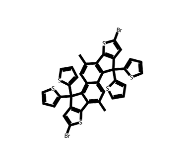 Cc1cc2c3c(c(C)cc2c2c1-c1sc(Br)cc1C2(c1cccs1)c1cccs1)-c1sc(Br)cc1C3(c1cccs1)c1cccs1